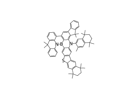 Cc1cc2c(cc1N1c3cc4c(cc3B3c5c(cc6c(c51)C(C)(C)c1ccccc1-6)-c1cccc5c1N3c1ccccc1C5(C)C)sc1cc3c(cc14)C(C)(C)CCC3(C)C)C(C)(C)CCC2(C)C